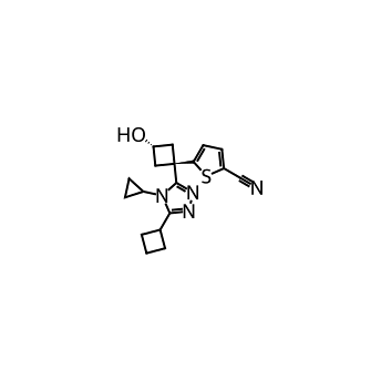 N#Cc1ccc([C@]2(c3nnc(C4CCC4)n3C3CC3)C[C@@H](O)C2)s1